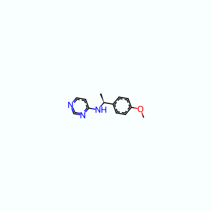 COc1ccc([C@H](C)Nc2ccncn2)cc1